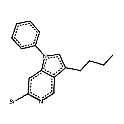 CCCCc1cn(-c2ccccc2)c2cc(Br)ncc12